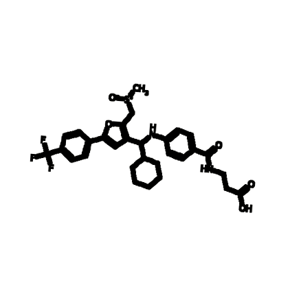 C[S+]([O-])Cc1oc(-c2ccc(C(F)(F)F)cc2)cc1C(Nc1ccc(C(=O)NCCC(=O)O)cc1)C1CCCCC1